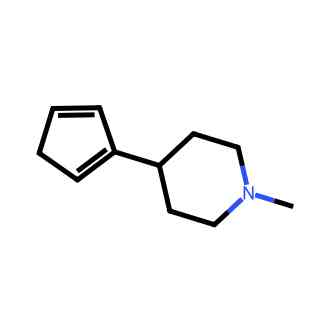 CN1CCC(C2=CCC=C2)CC1